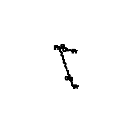 CC(C)CCCOC(=O)CCCCCCCCCCCCCCC(C(=O)OCCCC(C)C)C(C)C